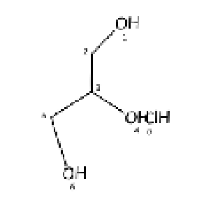 Cl.OCC(O)CO